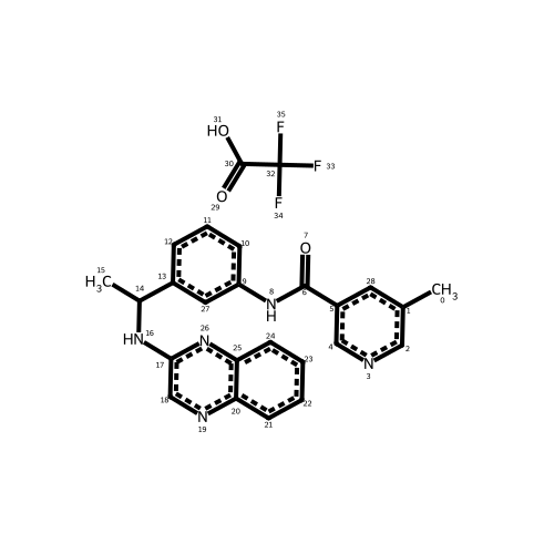 Cc1cncc(C(=O)Nc2cccc(C(C)Nc3cnc4ccccc4n3)c2)c1.O=C(O)C(F)(F)F